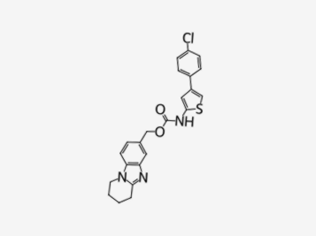 O=C(Nc1cc(-c2ccc(Cl)cc2)cs1)OCc1ccc2c(c1)nc1n2CCCC1